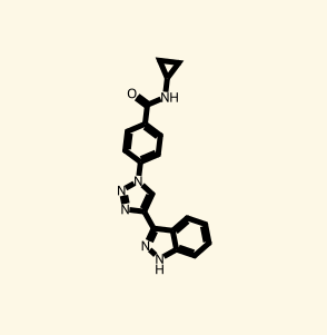 O=C(NC1CC1)c1ccc(-n2cc(-c3n[nH]c4ccccc34)nn2)cc1